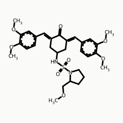 COCC1CCCN1S(=O)(=O)NC1C/C(=C\c2ccc(OC)c(OC)c2)C(=O)/C(=C/c2ccc(OC)c(OC)c2)C1